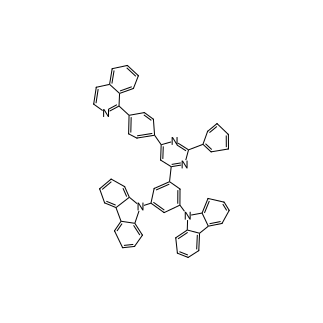 c1ccc(-c2nc(-c3ccc(-c4nccc5ccccc45)cc3)cc(-c3cc(-n4c5ccccc5c5ccccc54)cc(-n4c5ccccc5c5ccccc54)c3)n2)cc1